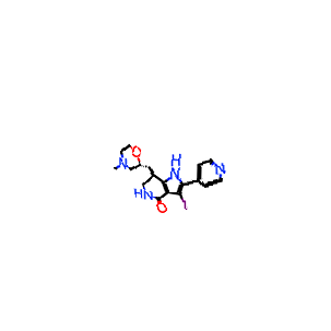 CN1CCO[C@H](CC2CNC(=O)c3c2[nH]c(-c2ccncc2)c3I)C1